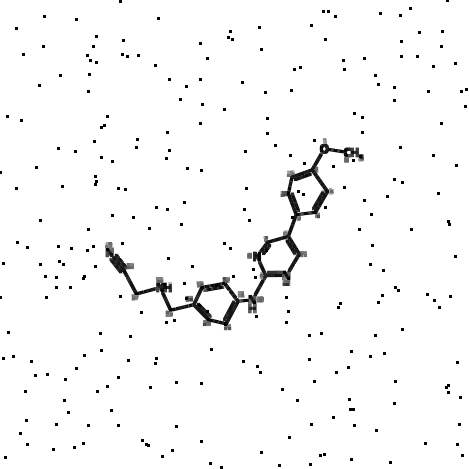 COc1ccc(-c2cnc(Nc3ccc(CNCC#N)cc3)nc2)cc1